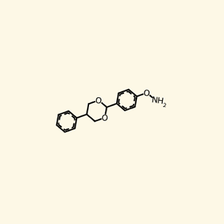 NOc1ccc(C2OCC(c3ccccc3)CO2)cc1